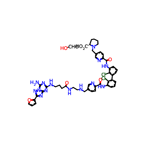 Nc1nc(NCCCC(=O)NCCNCc2ccc(C(=O)Nc3cccc(-c4cccc(NC(=O)c5ccc(CN6CCCC[C@H]6C(=O)O)cn5)c4Cl)c3Cl)nc2)nc2nc(-c3ccco3)nn12.O=CO